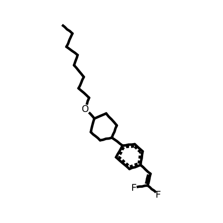 CCCCCCCCOC1CCC(c2ccc(C=C(F)F)cc2)CC1